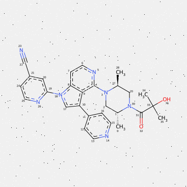 C[C@@H]1CN(c2nccc3c2c(-c2ccncc2)cn3-c2cc(C#N)ccn2)[C@@H](C)CN1C(=O)C(C)(C)O